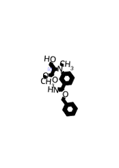 COC(=O)/C(=C/O)N(C)c1cccc(C(=N)OCc2ccccc2)c1